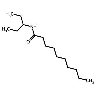 CCCCCCCCCC(=O)NC(CC)CC